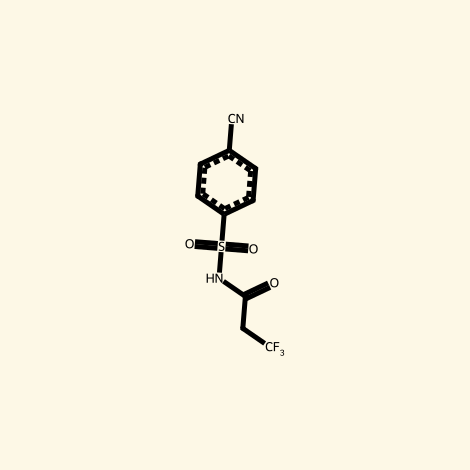 N#Cc1ccc(S(=O)(=O)NC(=O)CC(F)(F)F)cc1